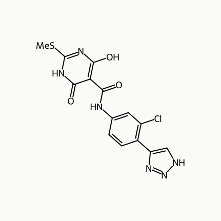 CSc1nc(O)c(C(=O)Nc2ccc(-c3c[nH]nn3)c(Cl)c2)c(=O)[nH]1